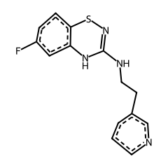 Fc1ccc2c(c1)NC(NCCc1cccnc1)=NS2